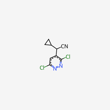 N#CC(c1cc(Cl)nnc1Cl)C1CC1